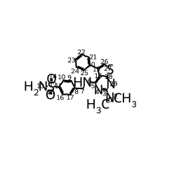 CN(C)c1nc(NCc2ccc(S(N)(=O)=O)cc2)c2c(-c3ccccc3)csc2n1